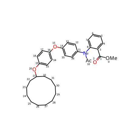 COC(=O)c1ccccc1N(C(C)=O)c1ccc(Oc2ccc(OC3CCCCCCCCCCC3)cc2)cc1